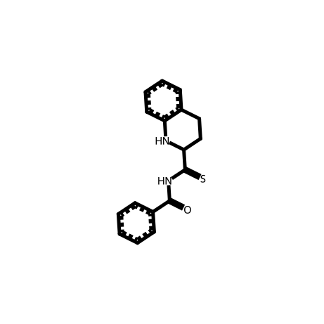 O=C(NC(=S)C1CCc2ccccc2N1)c1ccccc1